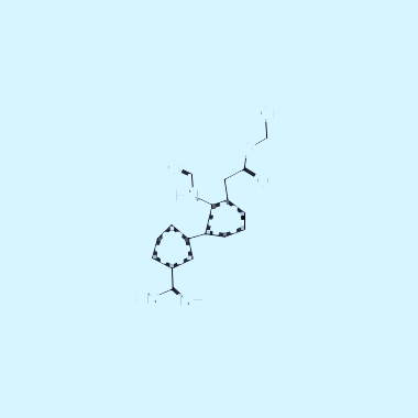 CCOC(=O)Cc1cccc(-c2cccc(C(=N)N)c2)c1NC=O